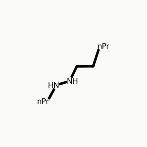 CCCCCNNCCC